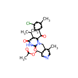 CC(=O)OCc1cncc(C)c1Cn1c(C(=O)c2cc(C)cc(Cl)c2)c(C(C)C)c(=O)[nH]c1=O